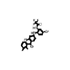 Cc1cccc(C(=O)c2ccc(Nc3ccc(Br)cc3NC(=O)C(F)(F)F)cc2Cl)c1C